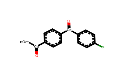 CCCCCCC[CH2][Co](=[O])[c]1cc[c]([Co](=[O])[c]2ccc(F)cc2)cc1